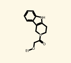 CCOCC(=O)N1CCc2[nH]c3ccccc3c2C1